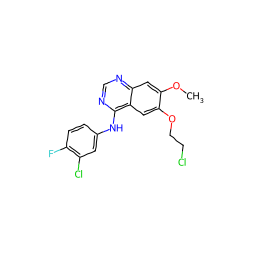 COc1cc2ncnc(Nc3ccc(F)c(Cl)c3)c2cc1OCCCl